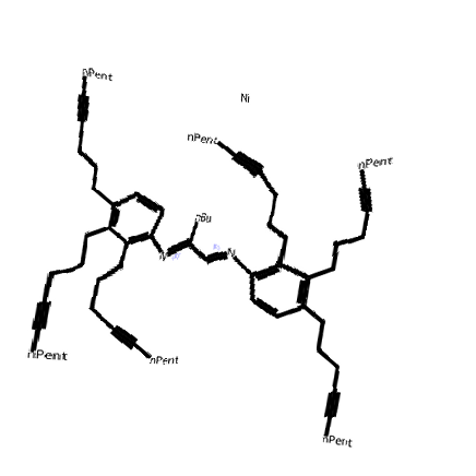 CCCCCC#CCCCc1ccc(/N=C/C(CCCC)=N/c2ccc(CCCC#CCCCCC)c(CCCC#CCCCCC)c2CCCC#CCCCCC)c(CCCC#CCCCCC)c1CCCC#CCCCCC.[Ni]